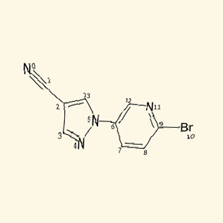 N#Cc1cnn(-c2ccc(Br)nc2)c1